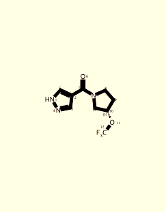 O=C(c1cn[nH]c1)N1CC[C@H](OC(F)(F)F)C1